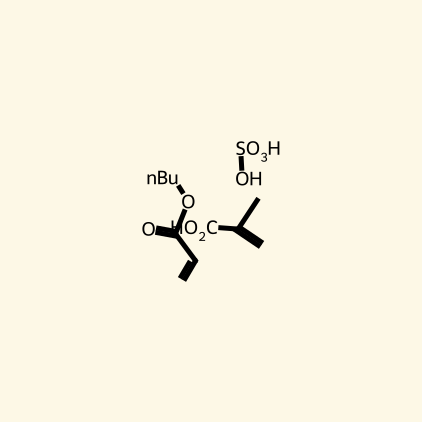 C=C(C)C(=O)O.C=CC(=O)OCCCC.O=S(=O)(O)O